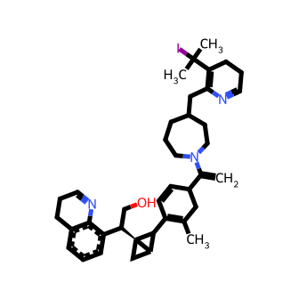 C=C(C1C=CC(C2C3C[C@@]32C(CO)c2cccc3c2N=CCC3)=C(C)C1)N1CCCC(CC2=C(C(C)(C)I)CCC=N2)CC1